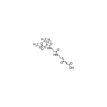 COP1(=O)OCC(C)(C)[C@H](C(=O)NCCC(=O)NCCSC(=O)/C=C/C(=O)O)O1